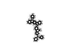 CC1(C)c2cc(N(c3ccccc3)c3ccccc3)ccc2-c2ccc(-n3c4ccccc4c4cc5c(cc43)c3ccccc3n5-c3ccccc3)cc21